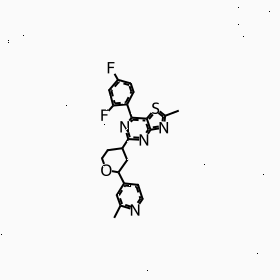 Cc1cc(C2CC(c3nc(-c4ccc(F)cc4F)c4sc(C)nc4n3)CCO2)ccn1